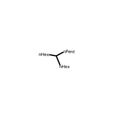 [CH2]CCCCC(CCCCCC)CCCCCC